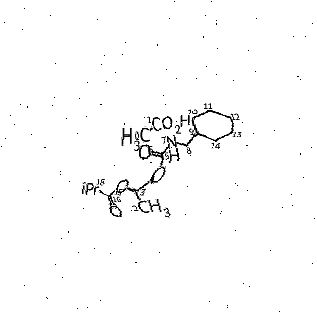 CC(=O)O.CC(OC(=O)NCC1CCCCC1)OC(=O)C(C)C